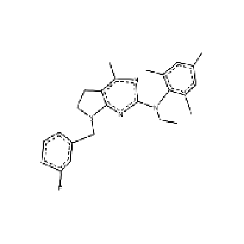 CCN(c1nc(C)c2c(n1)N(Cc1cccc(F)c1)CC2)c1c(C)cc(C)cc1C